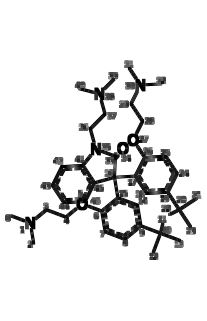 CN(C)CCOc1ccc(C(C)(C)C)cc1C1(c2cc(C(C)(C)C)ccc2OCCN(C)C)C(=O)N(CCN(C)C)c2ccccc21